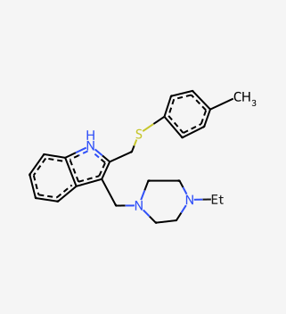 CCN1CCN(Cc2c(CSc3ccc(C)cc3)[nH]c3ccccc23)CC1